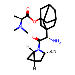 C[C@@H](C(=O)OC12CC3CC(C1)CC([C@H](N)C(=O)N1[C@H](C#N)C[C@@H]4C[C@@H]41)(C3)C2)N(C)C